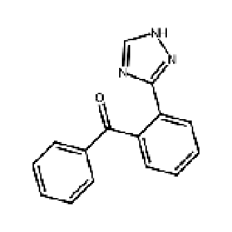 O=C(c1ccccc1)c1ccccc1-c1nc[nH]n1